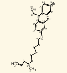 C=CCN(C)CCCCCCOc1ccc([C@@H](CO)c2ccc(Br)cc2)c(F)c1